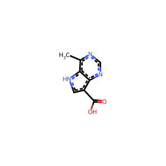 Cc1ncnc2c(C(=O)O)c[nH]c12